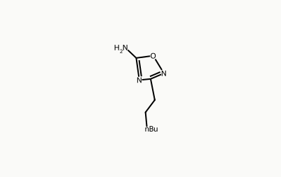 CCCCCCc1noc(N)n1